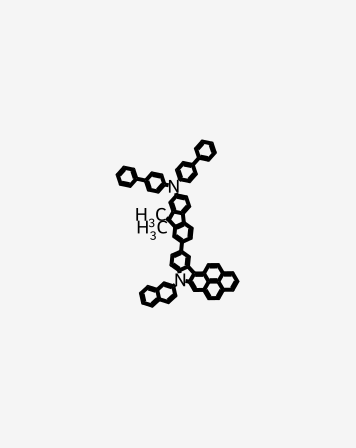 CC1(C)c2cc(-c3ccc4c(c3)c3c5ccc6cccc7ccc(cc3n4-c3ccc4ccccc4c3)c5c76)ccc2-c2ccc(N(c3ccc(-c4ccccc4)cc3)c3ccc(-c4ccccc4)cc3)cc21